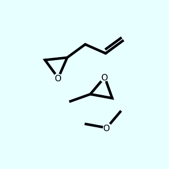 C=CCC1CO1.CC1CO1.COC